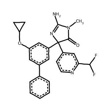 CN1C(=O)C(c2cc(OC3CC3)cc(-c3ccccc3)c2)(c2ccnc(C(F)F)c2)N=C1N